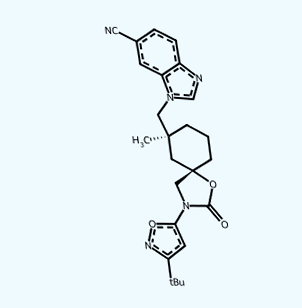 CC(C)(C)c1cc(N2C[C@@]3(CCC[C@](C)(Cn4cnc5ccc(C#N)cc54)C3)OC2=O)on1